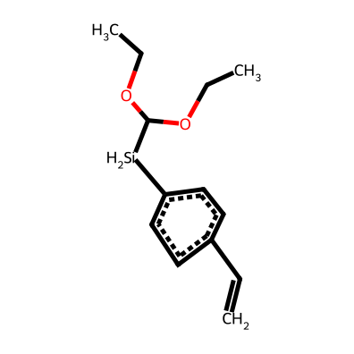 C=Cc1ccc([SiH2]C(OCC)OCC)cc1